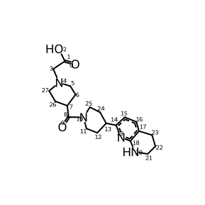 O=C(O)CN1CCC(C(=O)N2CCC(c3ccc4c(n3)NCCC4)CC2)CC1